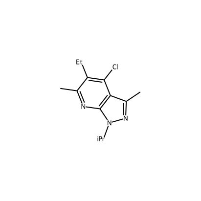 CCc1c(C)nc2c(c(C)nn2C(C)C)c1Cl